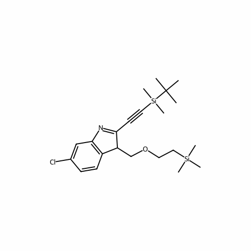 CC(C)(C)[Si](C)(C)C#CC1=Nc2cc(Cl)ccc2C1COCC[Si](C)(C)C